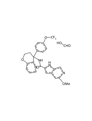 COc1cc2cc(C(=O)NC3(c4ccc(OC(F)(F)F)cc4)CCOc4cccnc43)[nH]c2cn1.O=CO